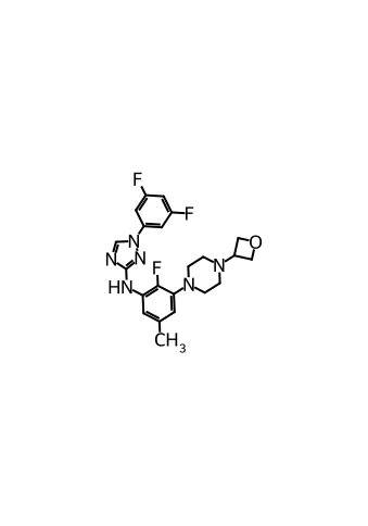 Cc1cc(Nc2ncn(-c3cc(F)cc(F)c3)n2)c(F)c(N2CCN(C3COC3)CC2)c1